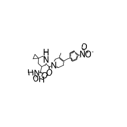 CC1=C(c2ccc([N+](=O)[O-])cc2)CCN(C(=O)C2NCC3(CC3)CC2C(=O)NO)C1